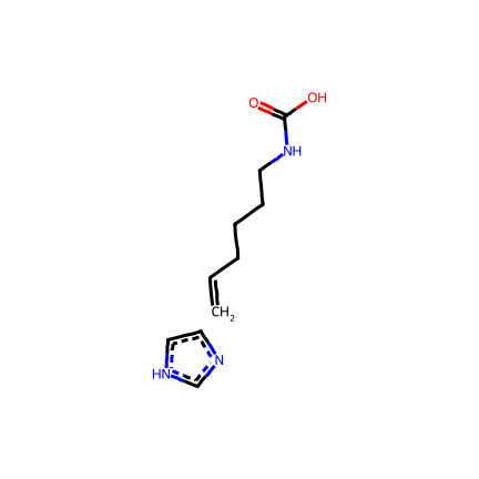 C=CCCCCNC(=O)O.c1c[nH]cn1